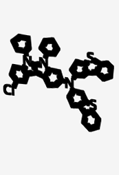 Clc1ccc2c(c1)c1c3ccc(N(c4ccc5c(c4)sc4ccccc45)c4ccc5sc6ccccc6c5c4)cc3n(-c3ccccc3)c1n2-c1ccccc1